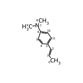 CC=Cc1ccc(N(C)C)cc1